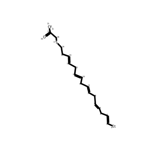 CCC=CCC=CCC=CCC=CCC=CCCSCC(=O)C(F)(F)F